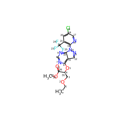 CCOC[C@H](Oc1ncnc2c1cnn2-c1ncc(Cl)cc1C(F)(F)F)C(=O)OC